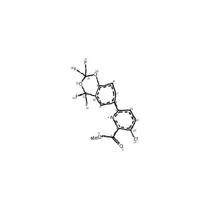 COC(=O)c1nc(-c2ccc3c(c2)C(F)(F)OC(F)(F)O3)ccc1Cl